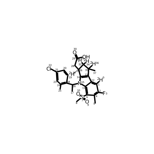 [2H]c1c(F)c(C)c(S(C)(=O)=O)c2c1c1c(n2C(C)c2ccc(Cl)cc2C)[C@@]([2H])(CC(=O)O)C([2H])([2H])C1([2H])C